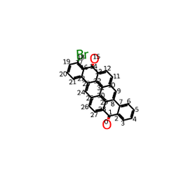 O=c1c2ccccc2c2cc3ccc4c(=O)c5c(Br)cccc5c5cc6ccc1c2c6c3c45